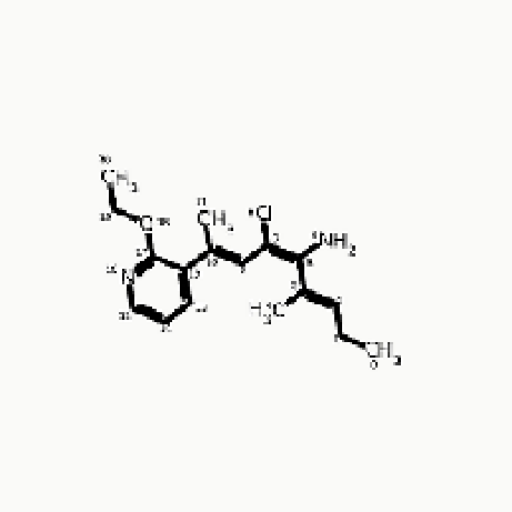 CC/C=C(C)/C(N)=C(Cl)\C=C(/C)c1cccnc1OCC